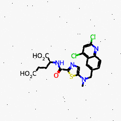 CN(Cc1ccc2nc(Cl)cc(Cl)c2c1)c1cnc(C(=O)N[C@@H](CCC(=O)O)C(=O)O)s1